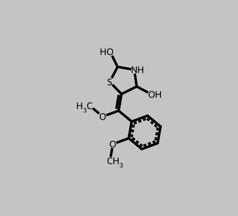 COC(=C1SC(O)NC1O)c1ccccc1OC